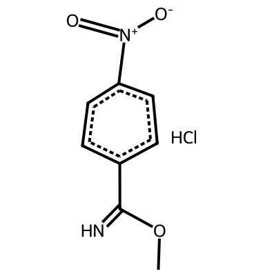 COC(=N)c1ccc([N+](=O)[O-])cc1.Cl